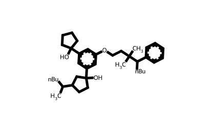 CCCCC(C)C1CCC(O)(c2cc(OCCC(C)(C)C(CCCC)c3ccccc3)cc(C3(O)CCCC3)c2)C1